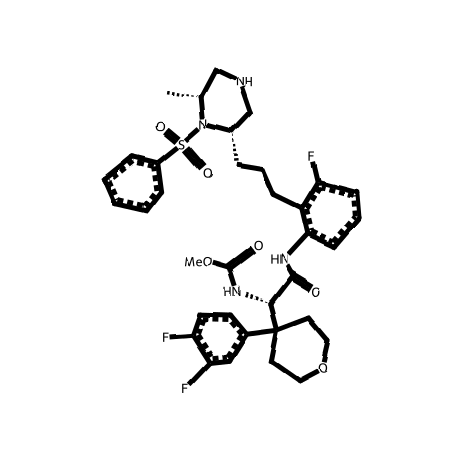 COC(=O)N[C@H](C(=O)Nc1cccc(F)c1CCC[C@H]1CNC[C@@H](C)N1S(=O)(=O)c1ccccc1)C1(c2ccc(F)c(F)c2)CCOCC1